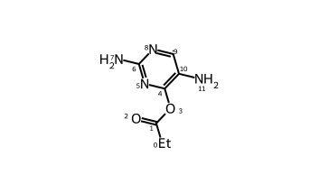 CCC(=O)Oc1nc(N)n[c]c1N